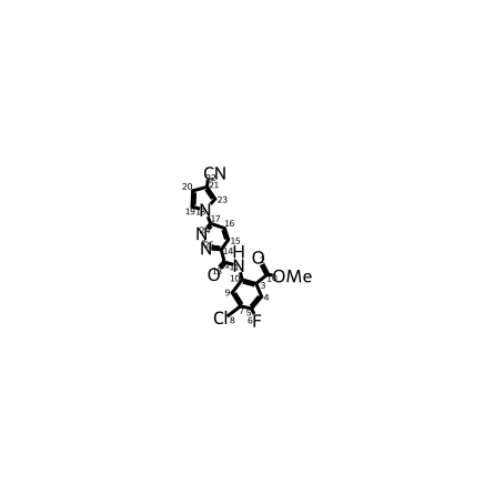 COC(=O)c1cc(F)c(Cl)cc1NC(=O)c1ccc(-n2ccc(C#N)c2)nn1